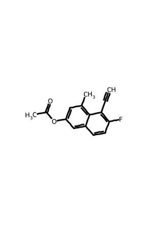 C#Cc1c(F)ccc2cc(OC(C)=O)cc(C)c12